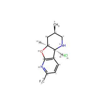 C[C@H]1CN[C@H]2c3ccc(C(F)(F)F)nc3O[C@H]2C1.Cl